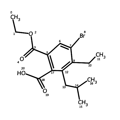 CCOC(=O)c1cc(Br)c(CC)c(CC(C)C)c1C(=O)O